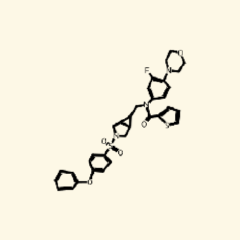 O=C(c1cccs1)N(CC1C2CN(S(=O)(=O)c3ccc(Oc4ccccc4)cc3)CC12)c1ccc(N2CCOCC2)c(F)c1